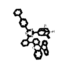 C=C1C2C[C@@H]3C[C@@H]1CC(c1nc(-c4ccc(-c5ccccc5)cc4)nc(-c4ccccc4-c4cccc5c4Oc4ccccc4C54c5ccccc5-c5ccccc54)n1)(C2)C3